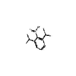 C[C](C)c1cccc(C(C)C)c1[N+](=O)[O-]